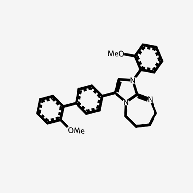 COc1ccccc1-c1ccc(C2=CN(c3ccccc3OC)C3=NCCCCN23)cc1